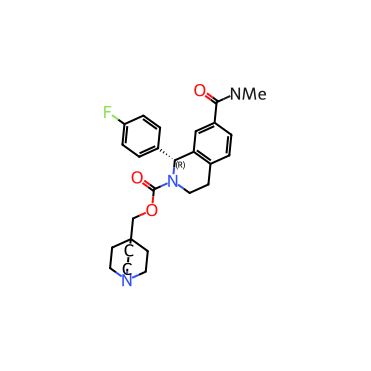 CNC(=O)c1ccc2c(c1)[C@@H](c1ccc(F)cc1)N(C(=O)OCC13CCN(CC1)CC3)CC2